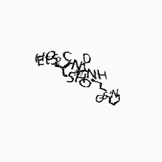 CCSCC1=C(C(=O)O)N2C(=O)C(NC(=O)CCC[S+]([O-])c3ccccn3)[C@@H]2SC1